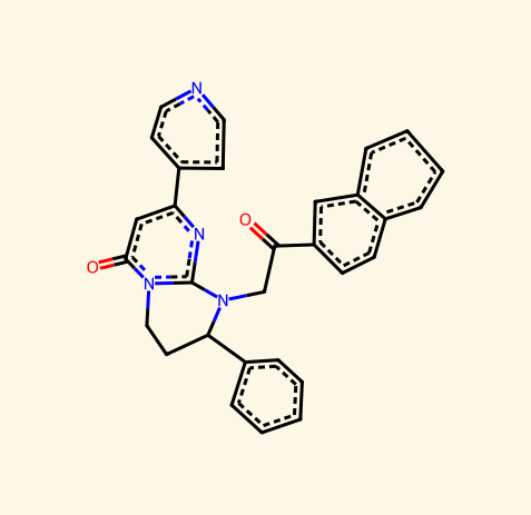 O=C(CN1c2nc(-c3ccncc3)cc(=O)n2CCC1c1ccccc1)c1ccc2ccccc2c1